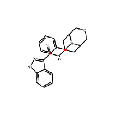 O=C(NC1CC2COCC(C1)N2Cc1ccccc1)c1n[nH]c2ccccc12